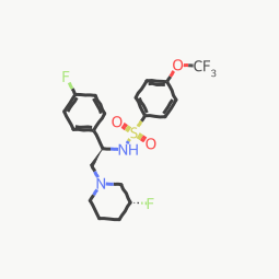 O=S(=O)(N[C@@H](CN1CCC[C@@H](F)C1)c1ccc(F)cc1)c1ccc(OC(F)(F)F)cc1